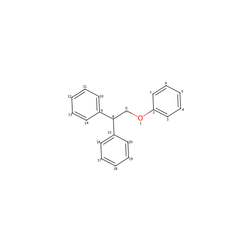 [CH](Oc1ccccc1)C(c1ccccc1)c1ccccc1